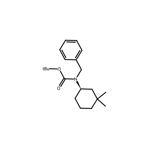 CC1(C)CCC[C@@H](N(Cc2ccccc2)C(=O)OC(C)(C)C)C1